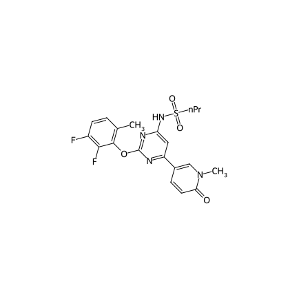 CCCS(=O)(=O)Nc1cc(-c2ccc(=O)n(C)c2)nc(Oc2c(C)ccc(F)c2F)n1